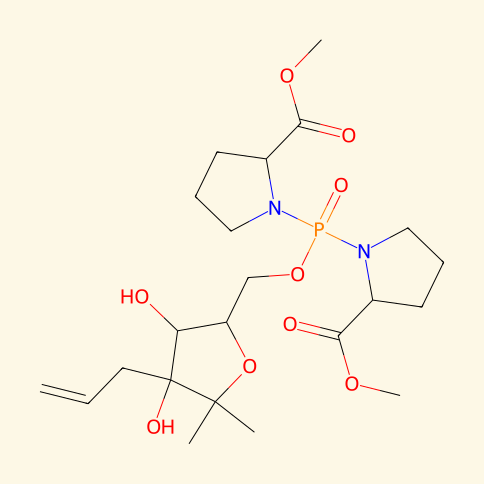 C=CCC1(O)C(O)C(COP(=O)(N2CCCC2C(=O)OC)N2CCCC2C(=O)OC)OC1(C)C